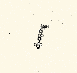 CC1(C)CC(=O)N(CCc2ccc(OC(=O)N3CCC(Sc4nc[nH]n4)CC3)cc2)C(=O)C1